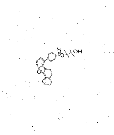 CC(C)(O)C(C)(C)OBc1ccc(-c2cccc3oc4c5ccccc5ccc4c23)cc1